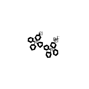 Clc1ccc([P+](c2ccccc2)(c2ccccc2)c2ccccc2)cc1.Clc1ccc([P+](c2ccccc2)(c2ccccc2)c2ccccc2)cc1.[Br-].[I-]